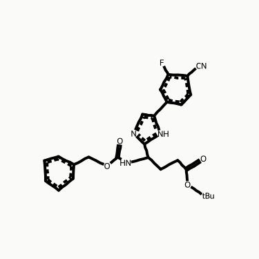 CC(C)(C)OC(=O)CCC(NC(=O)OCc1ccccc1)c1ncc(-c2ccc(C#N)c(F)c2)[nH]1